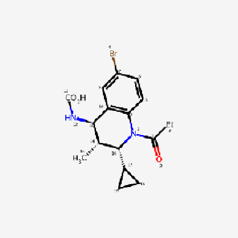 CCC(=O)N1c2ccc(Br)cc2[C@H](NC(=O)O)[C@@H](C)[C@H]1C1CC1